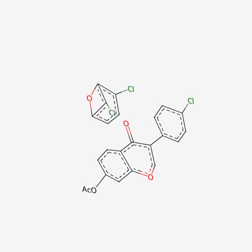 CC(=O)Oc1ccc2c(=O)c(-c3ccc(Cl)cc3)coc2c1.Clc1ccc2c(Cl)c1O2